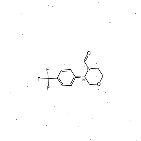 O=CN1CCOC[C@H]1c1ccc(C(F)(F)F)cc1